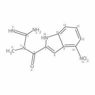 CN(C(=N)N)C(=O)c1cc2c([N+](=O)[O-])cccc2[nH]1